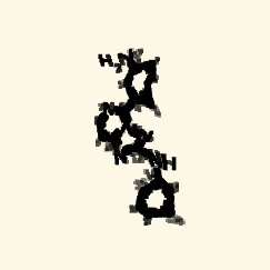 Nc1cccc(-c2nccc3nc(Nc4ccccc4)nn23)c1